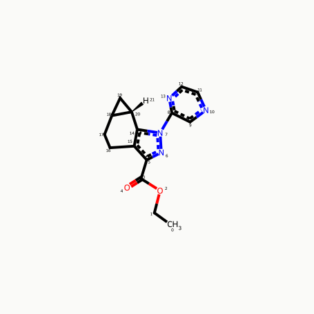 CCOC(=O)c1nn(-c2cnccn2)c2c1CCC1C[C@H]21